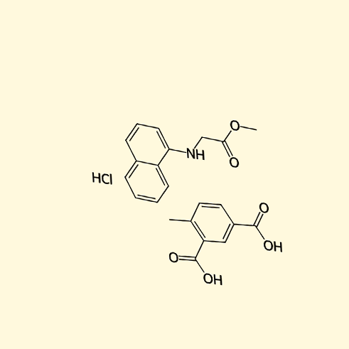 COC(=O)CNc1cccc2ccccc12.Cc1ccc(C(=O)O)cc1C(=O)O.Cl